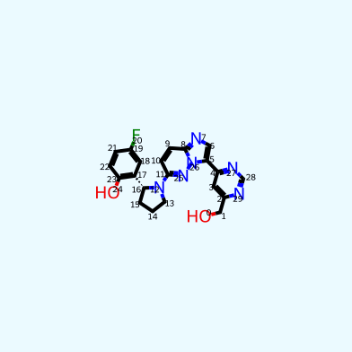 OCc1cc(-c2cnc3ccc(N4CCC[C@@H]4c4cc(F)ccc4O)nn23)ncn1